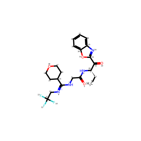 CC[C@H](NC(=O)CN/C(=N/CC(F)(F)F)C1CCOCC1)C(=O)c1nc2ccccc2o1